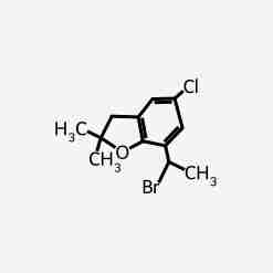 CC(Br)c1cc(Cl)cc2c1OC(C)(C)C2